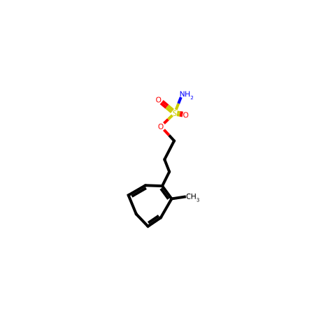 CC1=C(CCCOS(N)(=O)=O)C=CCC=C1